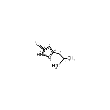 CC(C)Cc1cc(=O)[nH]o1